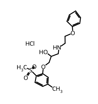 Cc1ccc(S(C)(=O)=O)c(OCC(O)CNCCOc2ccccc2)c1.Cl